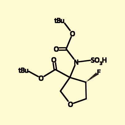 CC(C)(C)OC(=O)N(C1(C(=O)OC(C)(C)C)COC[C@H]1F)S(=O)(=O)O